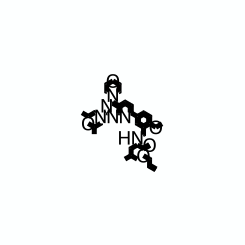 C=CCOC(=O)C(CC(C)C)NCc1cc(-c2ccc3c(N4CCOCC4)nc(N4CC(C)OC(C)C4)nc3n2)ccc1OC